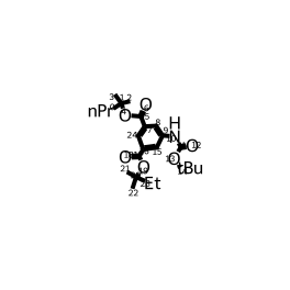 CCCC(C)(C)OC(=O)c1cc(NC(=O)OC(C)(C)C)cc(C(=O)OC(C)(C)CC)c1